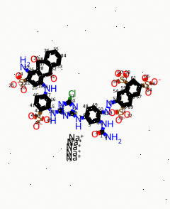 NC(=O)Nc1cc(Nc2nc(Cl)nc(Nc3cc(Nc4cc(S(=O)(=O)[O-])c(N)c5c4C(=O)c4ccccc4C5=O)ccc3S(=O)(=O)[O-])n2)ccc1N=Nc1cc2c(S(=O)(=O)[O-])cc(S(=O)(=O)[O-])cc2cc1S(=O)(=O)[O-].[Na+].[Na+].[Na+].[Na+].[Na+]